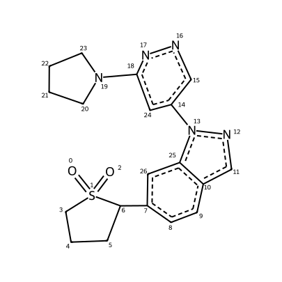 O=S1(=O)CCCC1c1ccc2cnn(-c3cnnc(N4CCCC4)c3)c2c1